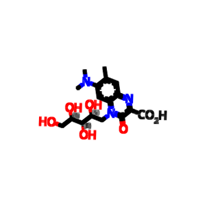 Cc1cc2nc(C(=O)O)c(=O)n(C[C@H](O)[C@H](O)[C@H](O)CO)c2cc1N(C)C